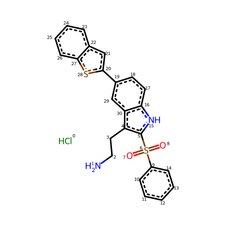 Cl.NCCc1c(S(=O)(=O)c2ccccc2)[nH]c2ccc(-c3cc4ccccc4s3)cc12